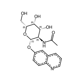 CC(=O)N[C@H]1[C@H](Oc2ccc3ncccc3c2)O[C@H](CO)[C@H](O)[C@@H]1O